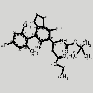 CCOC(=O)CC(NC(=O)OC(C)(C)C)c1c(F)c2c(c(-c3c(C)cc(F)cc3C)c1F)CCC2